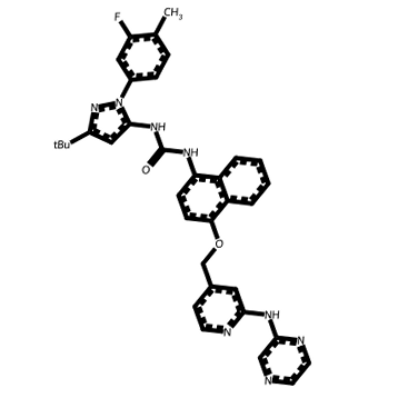 Cc1ccc(-n2nc(C(C)(C)C)cc2NC(=O)Nc2ccc(OCc3ccnc(Nc4cnccn4)c3)c3ccccc23)cc1F